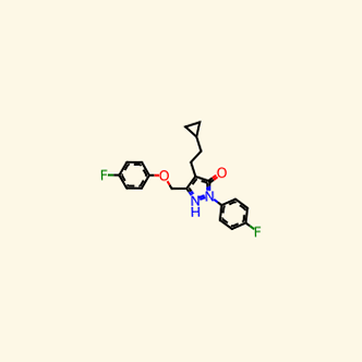 O=c1c(CCC2CC2)c(COc2ccc(F)cc2)[nH]n1-c1ccc(F)cc1